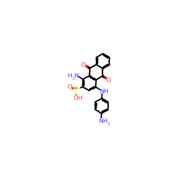 Nc1ccc(Nc2cc([S@](=O)O)c(N)c3c2C(=O)c2ccccc2C3=O)cc1